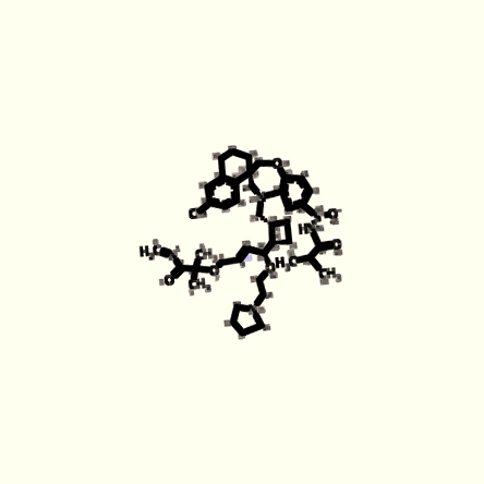 C=NC(=O)C(C)(C)OC/C=C/[C@H](OCCN1CCCC1)[C@@H]1CC[C@H]1CN1C[C@@]2(CCCc3cc(Cl)ccc32)COc2ccc([S+]([O-])NC(=O)C(C)C)cc21